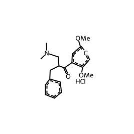 COc1ccc(OC)c(C(=O)C(Cc2ccccc2)CN(C)C)c1.Cl